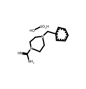 N=C(N)N1CCN(Cc2ccccc2)CC1.O=S(=O)(O)O